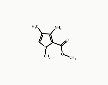 COC(=O)c1c(N)c(C)cn1C